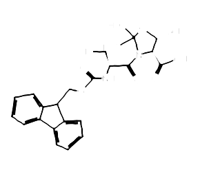 C[C@H]1OC(C)(C)N(C(=O)[C@H](CS)NC(=O)OCC2c3ccccc3-c3ccccc32)[C@@H]1C(=O)O